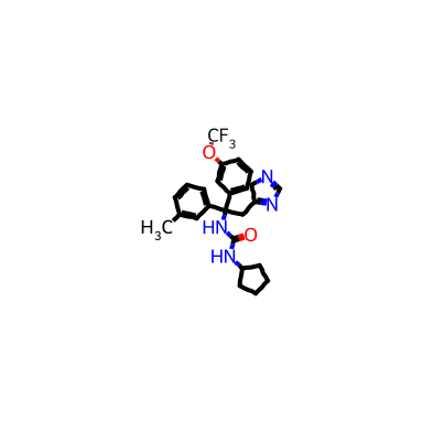 Cc1cccc(C(CC2=NC=NC2)(NC(=O)NC2CCCC2)c2cccc(OC(F)(F)F)c2)c1